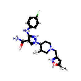 Cc1cc(CN2CCC(n3cc(C(N)=O)c(Nc4ccc(F)cc4)n3)C(C#N)C2)no1